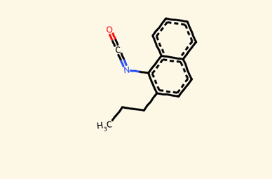 CCCc1ccc2ccccc2c1N=C=O